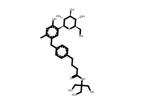 Cc1cc(O)c([C@@H]2S[C@H](CO)[C@@H](O)[C@H](O)[C@H]2O)cc1Cc1ccc(CCCC(=O)NC(CO)(CO)CO)cc1